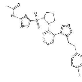 CC(=O)Nc1ncc(S(=O)(=O)N2CCCC2c2ccccc2-c2cncn2CCc2ccc(F)cc2)s1